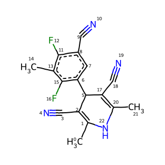 CC1=C(C#N)C(c2cc(C#N)c(F)c(C)c2F)C(C#N)=C(C)N1